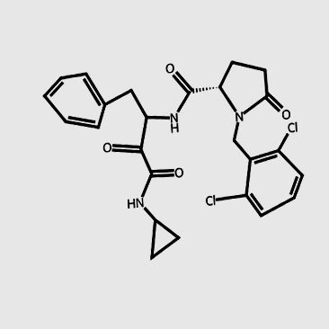 O=C(NC1CC1)C(=O)C(Cc1ccccc1)NC(=O)[C@@H]1CCC(=O)N1Cc1c(Cl)cccc1Cl